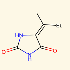 CCC(C)=C1NC(=O)NC1=O